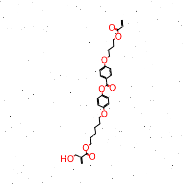 C=CC(=O)OCCCCOc1ccc(C(=O)Oc2ccc(OCCCCCCOC(=O)C(=C)CO)cc2)cc1